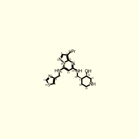 CC(C)c1cnn2c(NCc3cscn3)cc(NC[C@@H]3CCNC[C@@H]3O)nc12